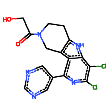 O=C(CO)N1CCc2[nH]c3c(Cl)c(Cl)nc(-c4cncnc4)c3c2C1